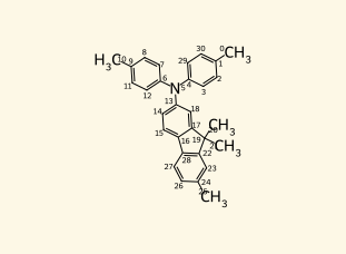 Cc1ccc(N(c2ccc(C)cc2)c2ccc3c(c2)C(C)(C)c2cc(C)ccc2-3)cc1